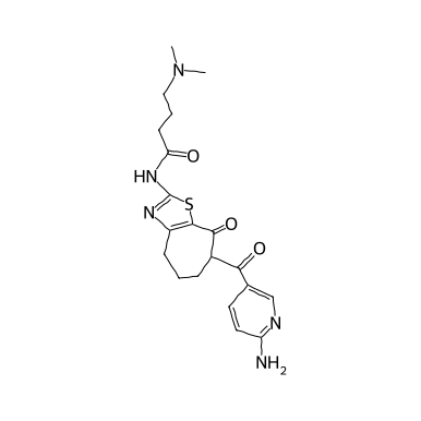 CN(C)CCCC(=O)Nc1nc2c(s1)C(=O)C(C(=O)c1ccc(N)nc1)CCC2